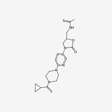 CC(=S)NCC1CN(c2ccc(N3CCN(C(=S)C4CC4)CC3)nc2)C(=O)O1